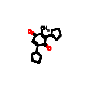 CC1=C(C2CCCC2)C(=O)C(C2CCCC2)=CC1=O